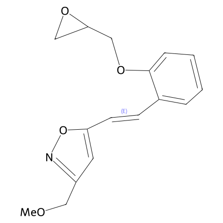 COCc1cc(/C=C/c2ccccc2OCC2CO2)on1